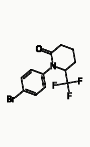 O=C1CCCC(C(F)(F)F)N1c1ccc(Br)cc1